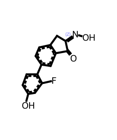 O=C1/C(=N\O)Cc2ccc(-c3ccc(O)cc3F)cc21